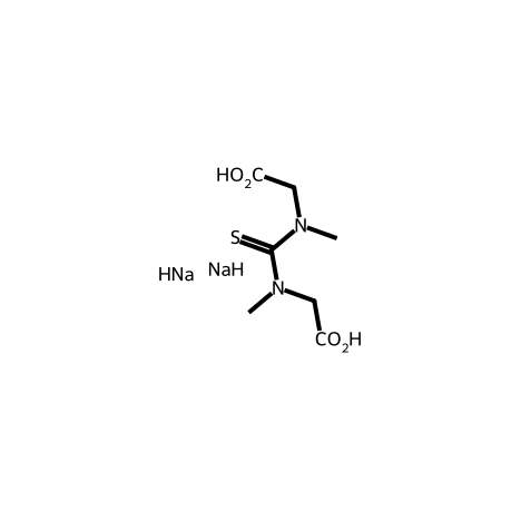 CN(CC(=O)O)C(=S)N(C)CC(=O)O.[NaH].[NaH]